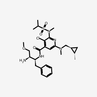 COC[C@H](N)[C@H](Cc1ccccc1)NC(=O)c1cc(N(C)C[C@H]2C[C@@H]2C)nc(N(C)S(=O)(=O)C(C)C)c1Cl